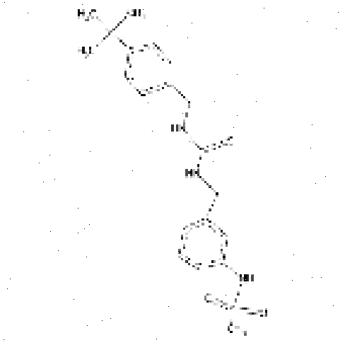 CC(C)(C)c1ccc(CNC(=S)NCc2cccc(NS(C)(=O)=O)c2)cc1